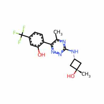 Cc1nc(N[C@H]2C[C@@](C)(O)C2)nnc1-c1ccc(C(F)(F)F)cc1O